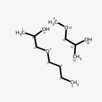 CCCCOCC(C)O.COCC(C)O